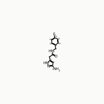 Nc1cc(CC(=O)NCc2ccc(F)cc2)[nH]n1